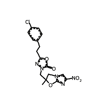 CC1(Cn2nc(CCc3ccc(Cl)cc3)oc2=O)Cn2cc([N+](=O)[O-])nc2O1